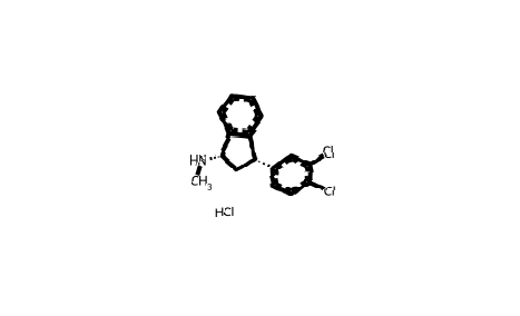 CN[C@H]1C[C@@H](c2ccc(Cl)c(Cl)c2)c2ccccc21.Cl